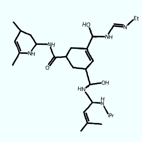 CC/N=C/NC(O)C1=CC(C(O)NC(C=C(C)C)NC(C)C)CC(C(=O)NC2CC(C)C=C(C)N2)C1